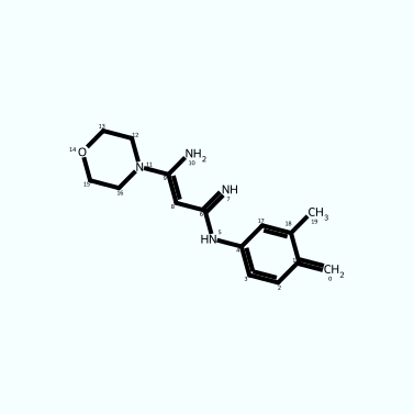 C=C1C=C=C(NC(=N)/C=C(\N)N2CCOCC2)C=C1C